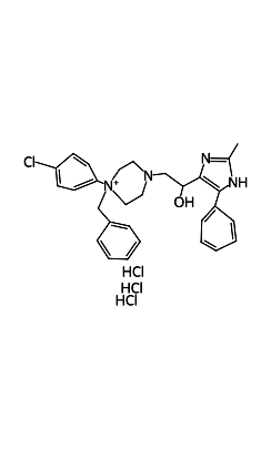 Cc1nc(C(O)CN2CC[N+](Cc3ccccc3)(c3ccc(Cl)cc3)CC2)c(-c2ccccc2)[nH]1.Cl.Cl.Cl